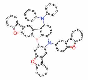 c1ccc(N(c2ccccc2)c2ccc3c4c2-c2cc5c(cc2B4c2cc4oc6ccccc6c4cc2N3c2ccc3oc4ccccc4c3c2)oc2ccccc25)cc1